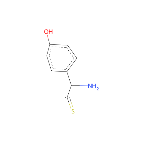 NC([C]=S)c1ccc(O)cc1